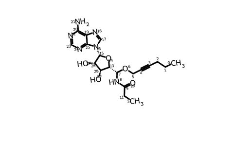 CCCC#CCOC(NC(=O)CC)[C@H]1O[C@@H](n2cnc3c(N)ncnc32)[C@H](O)[C@@H]1O